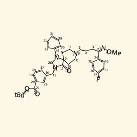 CO/N=C(/CCCN1CCC2(CC1)C(=O)N(Cc1cccc(C(=O)OC(C)(C)C)c1)CN2c1ccccc1)c1ccc(F)cc1